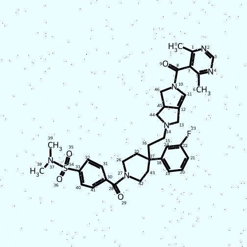 Cc1ncnc(C)c1C(=O)N1C=C2CN(CCC3(c4cccc(F)c4)CCN(C(=O)c4ccc(S(=O)(=O)N(C)C)cc4)CC3)CC2C1